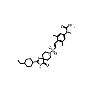 CCC1CCC(C2=NC3(CCN(S(=O)(=O)/C=C/c4c(C)cc(N(C)C(N)=O)cc4C)CC3)C(=O)N2)CC1